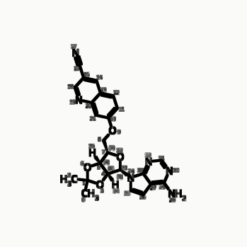 CC1(C)O[C@@H]2[C@H](O1)[C@@H](COc1ccc3cc(C#N)cnc3c1)O[C@H]2n1ccc2c(N)ncnc21